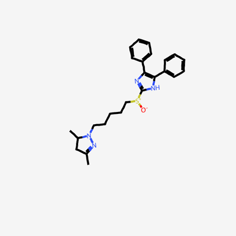 CC1=NN(CCCCC[S+]([O-])c2nc(-c3ccccc3)c(-c3ccccc3)[nH]2)C(C)C1